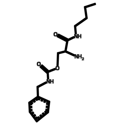 CCCCNC(=O)C(N)COC(=O)NCc1ccccc1